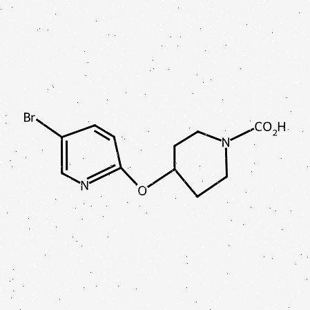 O=C(O)N1CCC(Oc2ccc(Br)cn2)CC1